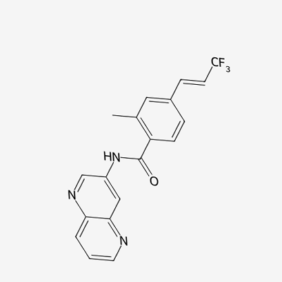 Cc1cc(C=CC(F)(F)F)ccc1C(=O)Nc1cnc2cccnc2c1